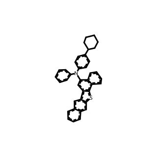 c1ccc(N(c2ccc(C3CCCCC3)cc2)c2cc3c4cc5ccccc5cc4sc3c3ccccc23)cc1